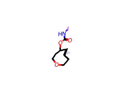 O=C(NI)OC1/C=C/CCOCC1